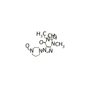 CC[N+]1(C)C(=O)c2c(ncn2N2CCCN(C=O)CC2)N(C)C1=O